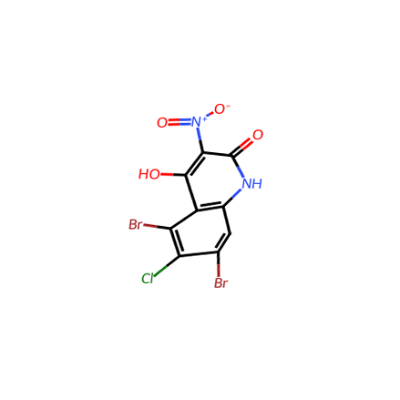 O=c1[nH]c2cc(Br)c(Cl)c(Br)c2c(O)c1[N+](=O)[O-]